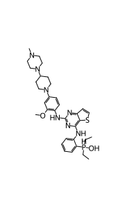 CC[PH](O)(CC)c1ccccc1Nc1nc(Nc2ccc(N3CCC(N4CCN(C)CC4)CC3)cc2OC)nc2ccsc12